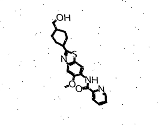 COc1cc2nc(C3CCC(CO)CC3)sc2cc1NC(=O)c1ccccn1